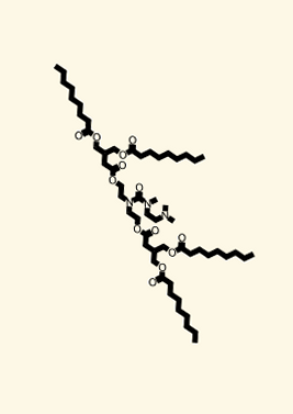 CCCCCCCCC(=O)OCC(COC(=O)CCCCCCCC)CC(=O)OCCN(CCOC(=O)CC(COC(=O)CCCCCCCC)COC(=O)CCCCCCCC)C(=O)N(C)CCN(C)C